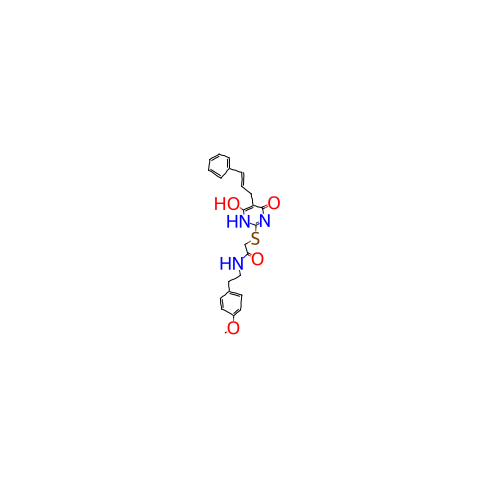 COc1ccc(CCNC(=O)CSc2nc(=O)c(CC=Cc3ccccc3)c(O)[nH]2)cc1